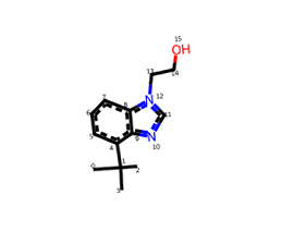 CC(C)(C)c1cccc2c1ncn2CCO